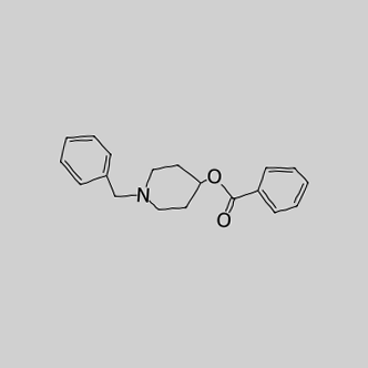 O=C(OC1CCN(Cc2ccccc2)CC1)c1ccccc1